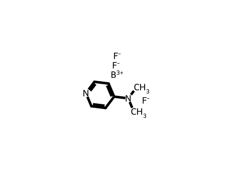 CN(C)c1ccncc1.[B+3].[F-].[F-].[F-]